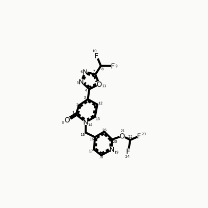 O=c1cc(-c2nnc(C(F)F)o2)ccn1Cc1ccnc(OC(F)F)c1